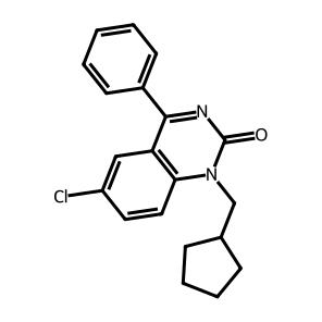 O=c1nc(-c2ccccc2)c2cc(Cl)ccc2n1CC1CCCC1